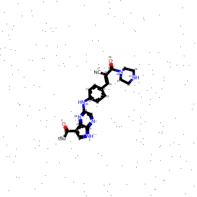 CC(C)(C)C(=O)c1c[nH]c2ncc(Nc3ccc(/C=C(\C#N)C(=O)N4CCNCC4)cc3)nc12